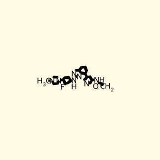 C=CC(=O)Nc1cncc(-c2cccc3cnc(Nc4ccc(N5CCN(C)CC5)c(F)c4)nc23)c1